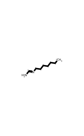 CCCCCCCN=CN